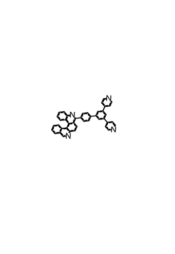 c1ccc2c(c1)cnc1ccc3c(-c4ccc(-c5cc(-c6ccncc6)cc(-c6ccncc6)c5)cc4)nc4ccccc4c3c12